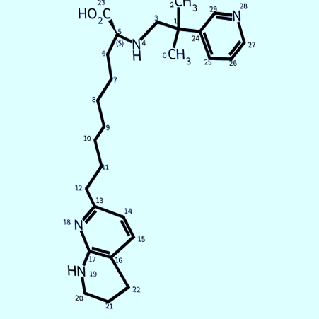 CC(C)(CN[C@@H](CCCCCCCc1ccc2c(n1)NCCC2)C(=O)O)c1cccnc1